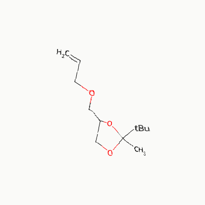 C=CCOCC1COC(C)(C(C)(C)C)O1